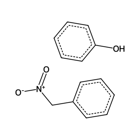 O=[N+]([O-])Cc1ccccc1.Oc1ccccc1